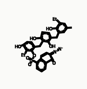 CCc1cc(C)cc(Cc2ccc(O)c(Cc3ccc(O)c(CC)c3OS(=O)(=O)c3cccc4c3C=CC(=[N+]=[N-])C4=O)c2O)c1O